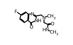 CNC(=O)CN(C)Cc1nc2cc(F)ccc2c(=O)[nH]1